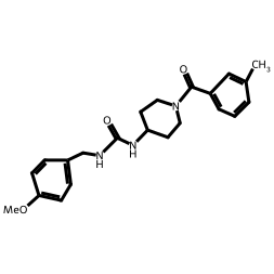 COc1ccc(CNC(=O)NC2CCN(C(=O)c3cccc(C)c3)CC2)cc1